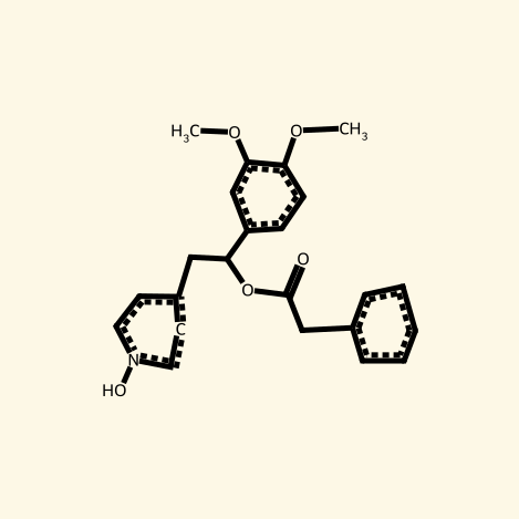 COc1ccc(C(Cc2cc[n+](O)cc2)OC(=O)Cc2ccccc2)cc1OC